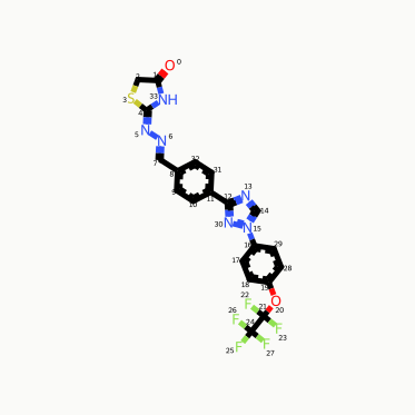 O=C1CS/C(=N/N=C/c2ccc(-c3ncn(-c4ccc(OC(F)(F)C(F)(F)F)cc4)n3)cc2)N1